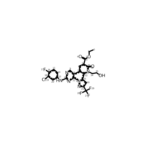 CCOC(=O)c1cc2c3cnc(Nc4ccc(F)c(Cl)c4)nc3n3nc(C(F)(F)F)cc3c2n(CCO)c1=O